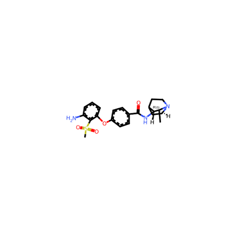 C[C@H]1[C@H](NC(=O)c2ccc(Oc3cccc(N)c3S(C)(=O)=O)cc2)C2CCN1CC2